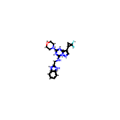 FC1(F)CC1c1cnn2c(NCc3nc4ccccc4[nH]3)nc(N3CCOCC3)nc12